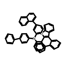 c1ccc(-c2ccc(N(c3cccc(-c4cccc5ccccc45)c3)c3ccccc3-c3oc4ccccc4c3-c3ccccc3-c3ccccc3)cc2)cc1